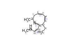 CCC1/C=C\C=C/CC(C)/N=C1/C=C\NC